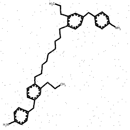 CCCc1cc(Cc2ccc(N)cc2)ccc1CCCCCCCCCc1ccc(Cc2ccc(N)cc2)cc1CCC